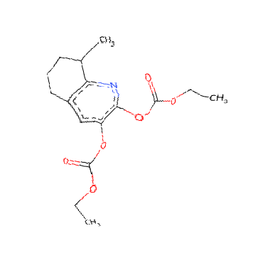 CCOC(=O)Oc1cc2c(nc1OC(=O)OCC)C(C)CCC2